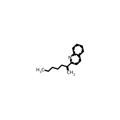 C=C(CCCCC)c1ccc2ccccc2n1